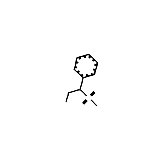 CS(=O)(=O)C(CC(=O)O)c1ccccc1